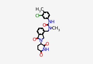 Cc1ccc(NC(=O)N(C)Cc2cccc3c2CN(C2CCC(=O)NC2=O)C3=O)cc1Cl